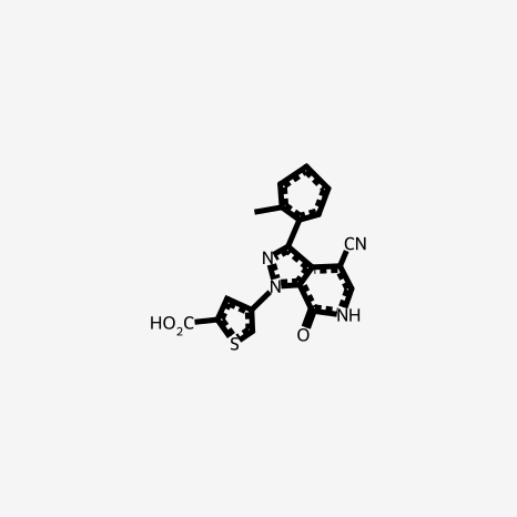 Cc1ccccc1-c1nn(-c2csc(C(=O)O)c2)c2c(=O)[nH]cc(C#N)c12